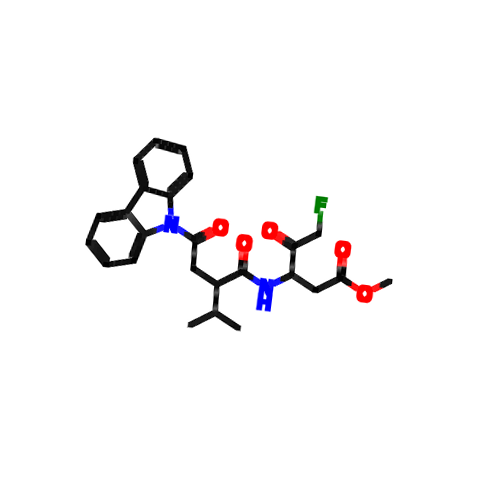 COC(=O)CC(NC(=O)C(CC(=O)n1c2ccccc2c2ccccc21)C(C)C)C(=O)CF